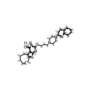 Nn1c(SCCCN2CCN(c3ccc4ccccc4n3)CC2)nc2sc3c(c2c1=O)CCCCCC3